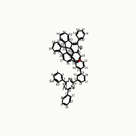 c1ccc(-c2nc(-c3ccccc3)nc(-c3cccc(-c4cccc(-c5ccc6c(c5)C5(c7ccccc7-6)c6ccccc6-c6c(-c7ccccc7)nc7ccccc7c65)c4)c3)n2)cc1